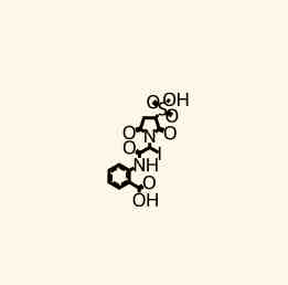 O=C(O)c1ccccc1NC(=O)C(I)N1C(=O)CC(S(=O)(=O)O)C1=O